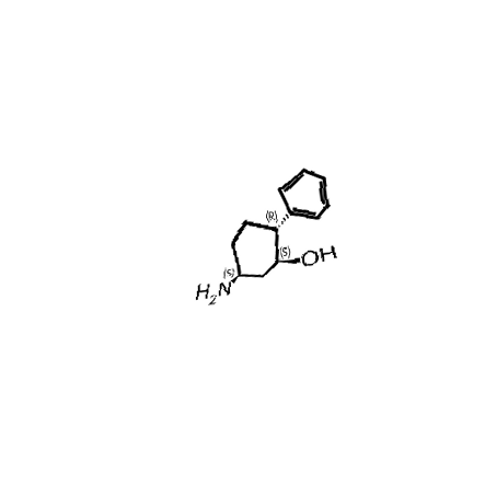 N[C@H]1CC[C@H](c2ccccc2)[C@@H](O)C1